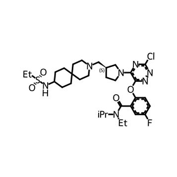 CCN(C(=O)c1cc(F)ccc1Oc1nnc(Cl)nc1N1CC[C@@H](CN2CCC3(CCC(NS(=O)(=O)CC)CC3)CC2)C1)C(C)C